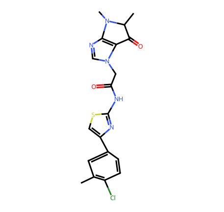 Cc1cc(-c2csc(NC(=O)Cn3cnc4c3C(=O)C(C)N4C)n2)ccc1Cl